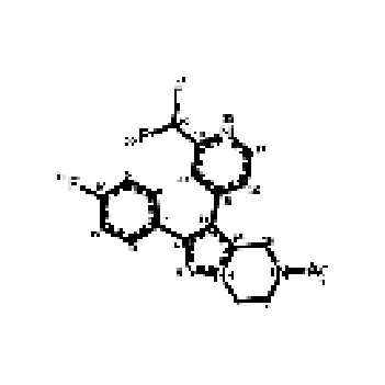 CC(=O)N1CCn2nc(-c3ccc(F)cc3)c(-c3ccnc(C(F)F)c3)c2C1